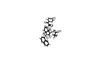 CCC[C@H]1C(=O)N(S(=O)(=O)c2cccc3ccccc23)[C@H]2CCN(C(=O)C(=O)C3CCNCC3)[C@H]12.O=C(O)C(F)(F)F